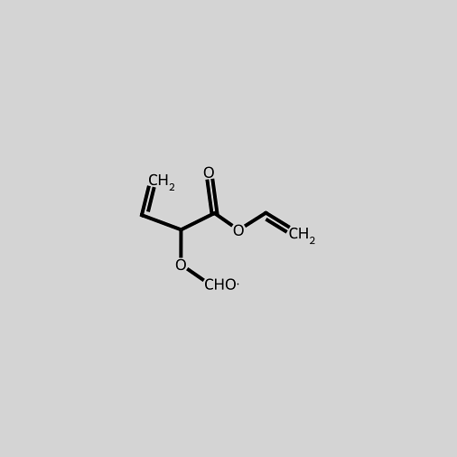 C=COC(=O)C(C=C)O[C]=O